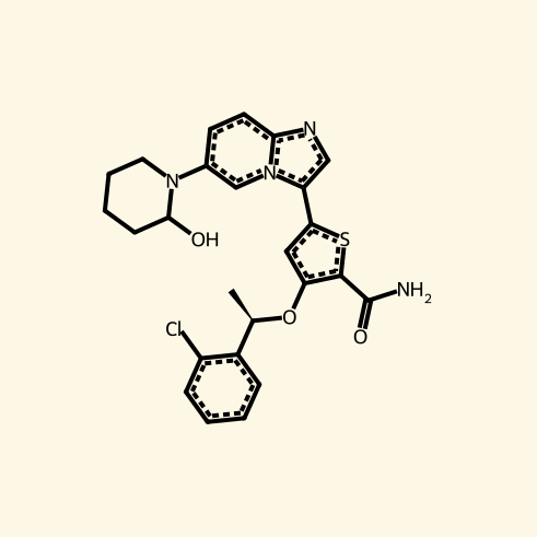 C[C@@H](Oc1cc(-c2cnc3ccc(N4CCCCC4O)cn23)sc1C(N)=O)c1ccccc1Cl